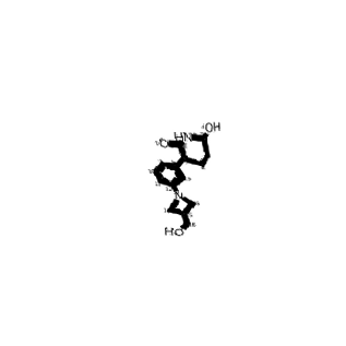 O=C1NC(O)CCC1c1cccc(N2CC(CO)C2)c1